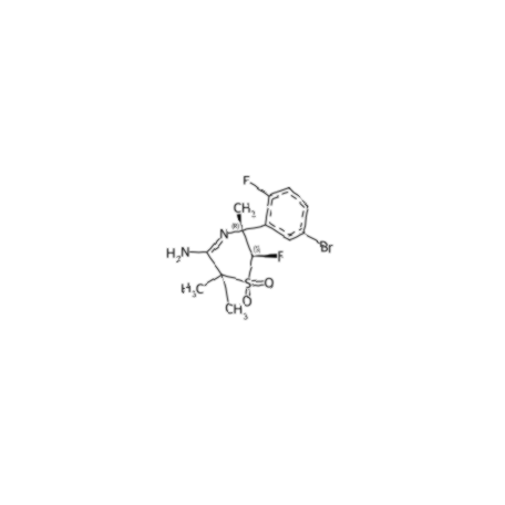 CC1(C)C(N)=N[C@](C)(c2cc(Br)ccc2F)[C@@H](F)S1(=O)=O